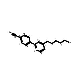 CCCCCCc1ccnc(-c2ccc(C#N)cc2)c1